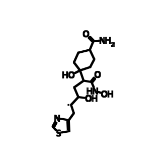 NC(=O)C1CCC(O)(C(CC(O)[CH]Cc2cscn2)C(=O)NO)CC1